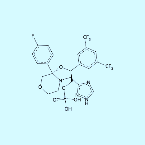 O=P(O)(O)OC[C@@H](O[C@@]1(c2ccc(F)cc2)COCCN1Cc1nc[nH]n1)c1cc(C(F)(F)F)cc(C(F)(F)F)c1